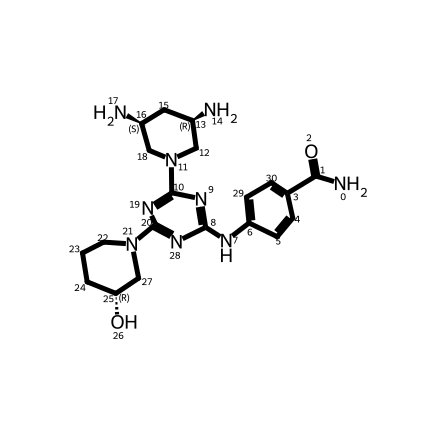 NC(=O)c1ccc(Nc2nc(N3C[C@H](N)C[C@H](N)C3)nc(N3CCC[C@@H](O)C3)n2)cc1